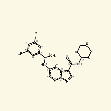 C[C@@H](Nc1ccn2ncc(C(=O)NC3CCOCC3)c2n1)c1cc(F)cc(F)c1